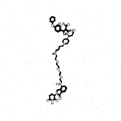 CN(C/C=C/CN1CCC([C@@H]2CCNc3c(C(N)=O)c(-c4ccc(Oc5ccccc5)cc4)nn32)CC1)CCOCCOCCOCCNc1cccc2c1CN(C1CCC(=O)NC1=O)C2=O